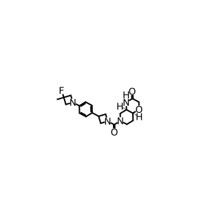 CC1(F)CN(c2ccc(C3CN(C(=O)N4CC[C@@H]5OCC(=O)N[C@@H]5C4)C3)cc2)C1